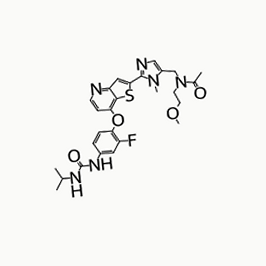 COCCN(Cc1cnc(-c2cc3nccc(Oc4ccc(NC(=O)NC(C)C)cc4F)c3s2)n1C)C(C)=O